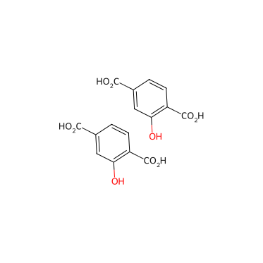 O=C(O)c1ccc(C(=O)O)c(O)c1.O=C(O)c1ccc(C(=O)O)c(O)c1